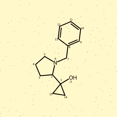 OC1(C2CCCN2Cc2ccccc2)CC1